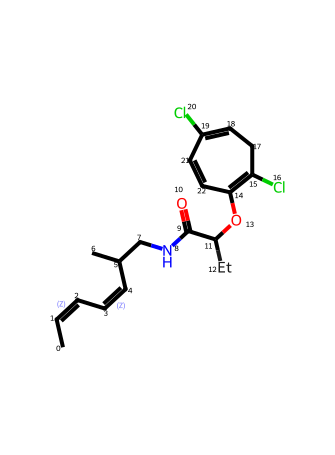 C/C=C\C=C/C(C)CNC(=O)C(CC)OC1=C(Cl)CC=C(Cl)C=C1